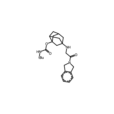 CC(C)(C)NC(=O)OC12CC3CC1CC(NCC(=O)N1Cc4ccccc4C1)(C3)C2